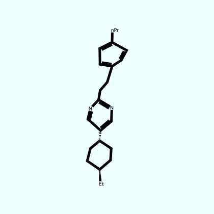 CCCc1ccc(CCc2ncc([C@H]3CC[C@H](CC)CC3)cn2)cc1